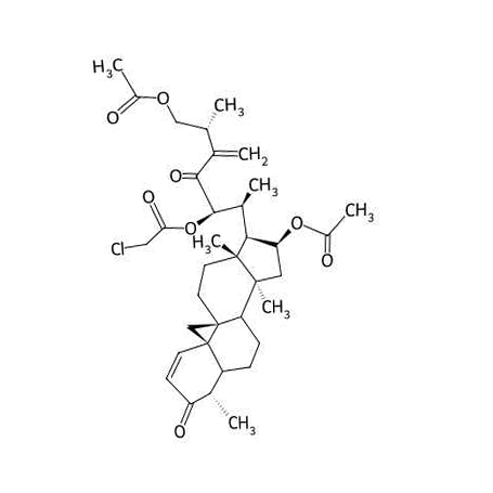 C=C(C(=O)[C@H](OC(=O)CCl)[C@@H](C)[C@H]1[C@@H](OC(C)=O)C[C@@]2(C)C3CCC4[C@H](C)C(=O)C=C[C@@]45C[C@@]35CC[C@]12C)[C@@H](C)COC(C)=O